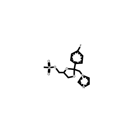 CS(=O)(=O)OCC1COC(Cn2ccnc2)(c2ccc(F)cc2)O1